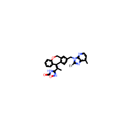 CCc1nc2c(C)ccnc2n1Cc1ccc2c(c1)COc1ccccc1/C2=C(/C)c1noc(=O)[nH]1